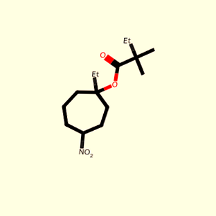 CCC1(OC(=O)C(C)(C)CC)CCCC([N+](=O)[O-])CC1